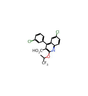 CC(Oc1nc2ccc(Cl)cc2c(-c2cccc(Cl)c2)c1C(=O)O)C(F)(F)F